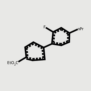 CCCc1ccc(-c2ccc(C(=O)OCC)cc2)c(F)c1